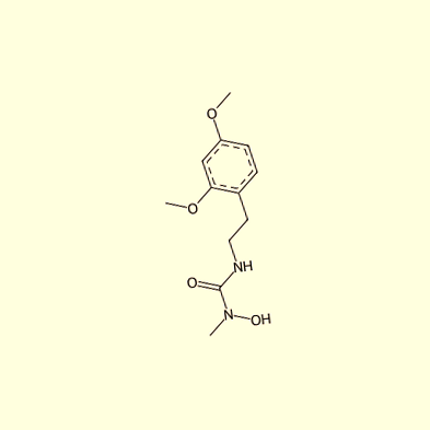 COc1ccc(CCNC(=O)N(C)O)c(OC)c1